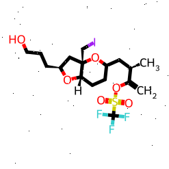 C=C(OS(=O)(=O)C(F)(F)F)[C@H](C)CC1CC[C@@H]2O[C@@H](CCCO)C[C@]2(CI)O1